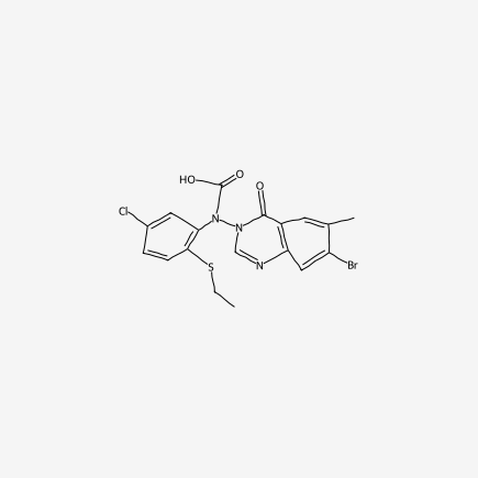 CCSc1ccc(Cl)cc1N(C(=O)O)n1cnc2cc(Br)c(C)cc2c1=O